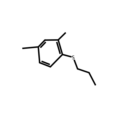 CCCSc1ccc(C)cc1C